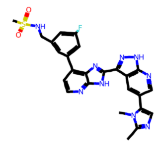 Cc1ncc(-c2cnc3[nH]nc(-c4nc5c(-c6cc(F)cc(CNS(C)(=O)=O)c6)ccnc5[nH]4)c3c2)n1C